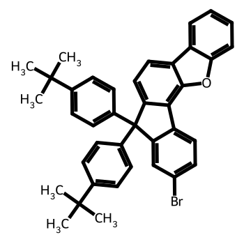 CC(C)(C)c1ccc(C2(c3ccc(C(C)(C)C)cc3)c3cc(Br)ccc3-c3c2ccc2c3oc3ccccc32)cc1